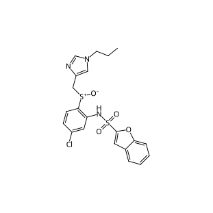 CCCn1cnc(C[S+]([O-])c2ccc(Cl)cc2NS(=O)(=O)c2cc3ccccc3o2)c1